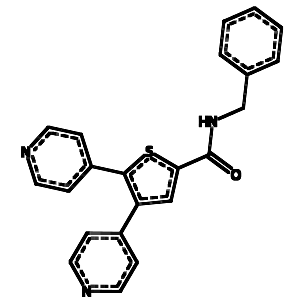 O=C(NCc1ccccc1)c1cc(-c2ccncc2)c(-c2ccncc2)s1